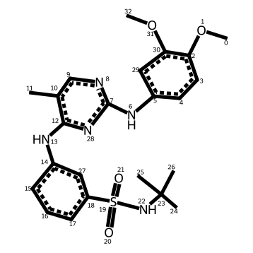 COc1ccc(Nc2ncc(C)c(Nc3cccc(S(=O)(=O)NC(C)(C)C)c3)n2)cc1OC